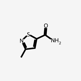 Cc1cc(C(N)=O)sn1